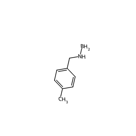 BNCc1ccc(C)cc1